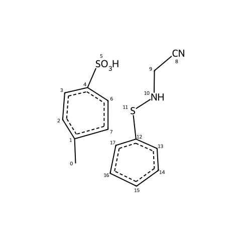 Cc1ccc(S(=O)(=O)O)cc1.N#CCNSc1ccccc1